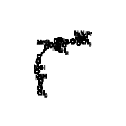 C=C1C[C@@H](C2OCCN2C(=O)OCc2ccc(NC(=O)[C@H](C)NC(=O)C(N)C(C)C)cc2)N(C(=O)c2cc(OC)c(OCCCCCOc3ccc(-c4nc5ccc(-c6nc7cc(N8CCN(C)CC8)ccc7[nH]6)cc5[nH]4)cc3)cc2N)C1